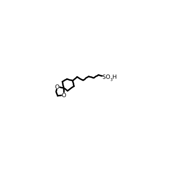 O=S(=O)(O)CCCCCC1CCC2(CC1)OCCO2